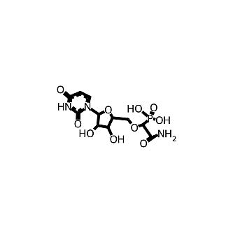 NC(=O)C(OCC1OC(n2ccc(=O)[nH]c2=O)C(O)C1O)P(=O)(O)O